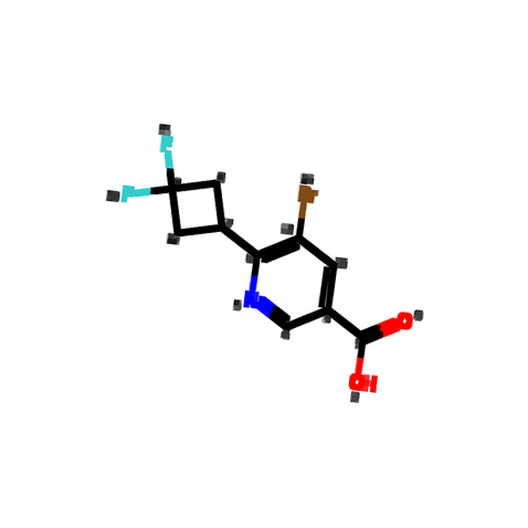 O=C(O)c1cnc(C2CC(F)(F)C2)c(Br)c1